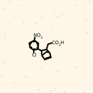 O=C(O)CC1C2C=CC(C2)C1c1cc([N+](=O)[O-])ccc1Cl